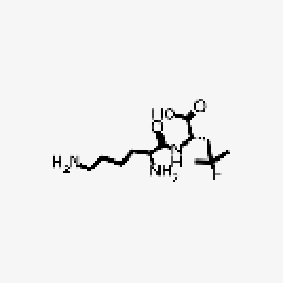 CC(C)(F)C[C@H](NC(=O)[C@@H](N)CCCCN)C(=O)O